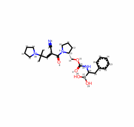 CC(C)(C=C(C#N)C(=O)N1CCC[C@@H]1COC(=O)NC(Cc1ccccc1)B(O)O)N1CCCC1